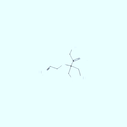 C=CCOC(CO)(CO)C(=C)CO